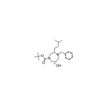 CC(C)CCC1CN(C(=O)OC(C)(C)C)C[C@@H](O)CN1Cc1ccccc1